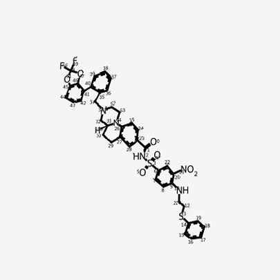 O=C(NS(=O)(=O)c1ccc(NCCSc2ccccc2)c([N+](=O)[O-])c1)c1ccc2c(c1)CC[C@@H]1CN(Cc3ccccc3-c3cccc4c3OC(F)(F)O4)CCN21